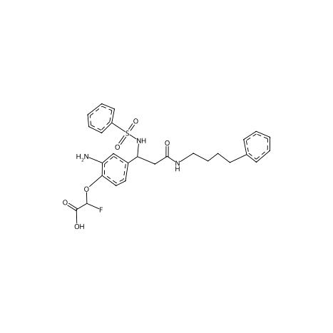 Nc1cc(C(CC(=O)NCCCCc2ccccc2)NS(=O)(=O)c2ccccc2)ccc1OC(F)C(=O)O